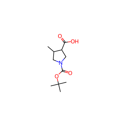 CC1CN(C(=O)OC(C)(C)C)CC1C(=O)O